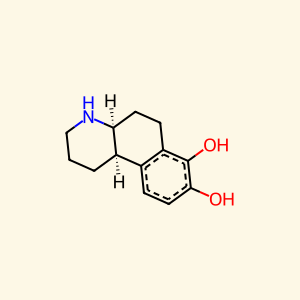 Oc1ccc2c(c1O)CC[C@@H]1NCCC[C@H]21